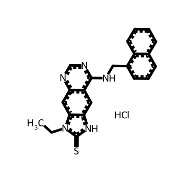 CCn1c(=S)[nH]c2cc3c(NCc4cccc5ccccc45)ncnc3cc21.Cl